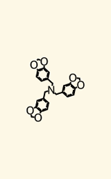 c1cc2c(cc1CN(Cc1ccc3c(c1)OCO3)Cc1ccc3c(c1)OCO3)OCO2